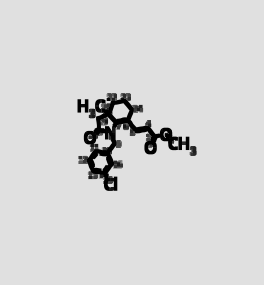 COC(=O)C=CC1=C2N(Cc3cccc(Cl)c3)C(=O)CC2(C)CCC1